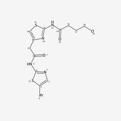 CC(C)c1cnc(NC(=O)Cc2csc(NC(=O)CCCCl)n2)s1